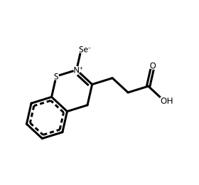 O=C(O)CCC1=[N+]([Se-])Sc2ccccc2C1